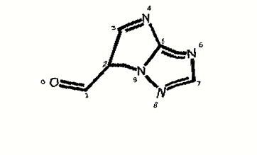 O=CC1C=Nc2ncnn21